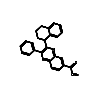 COC(=O)c1ccc2nc(-c3ccccc3)c(N3CCCc4ccccc43)nc2c1